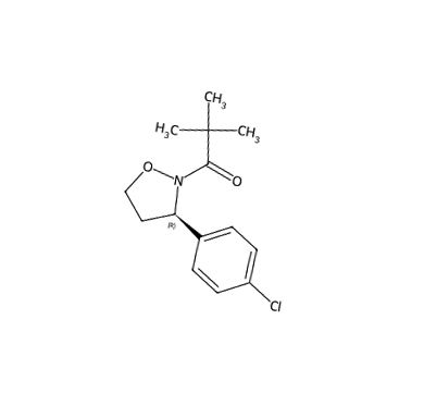 CC(C)(C)C(=O)N1OCC[C@@H]1c1ccc(Cl)cc1